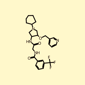 O=C(CNC(=O)c1cccc(C(F)(F)F)c1)NC1CN(C2CCCCC2)CC1OCc1cccnc1